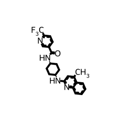 Cc1cc(N[C@H]2CC[C@@H](NC(=O)c3ccc(C(F)(F)F)nc3)CC2)nc2ccccc12